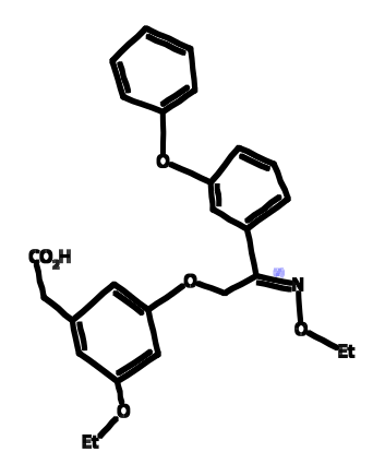 CCO/N=C(\COc1cc(CC(=O)O)cc(OCC)c1)c1cccc(Oc2ccccc2)c1